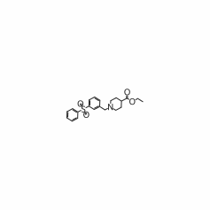 CCOC(=O)C1CCN(Cc2cccc(S(=O)(=O)c3ccccc3)c2)CC1